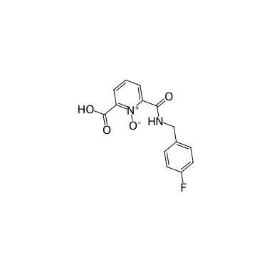 O=C(O)c1cccc(C(=O)NCc2ccc(F)cc2)[n+]1[O-]